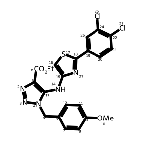 CCOC(=O)c1nnn(Cc2ccc(OC)cc2)c1Nc1csc(-c2ccc(Cl)c(Cl)c2)n1